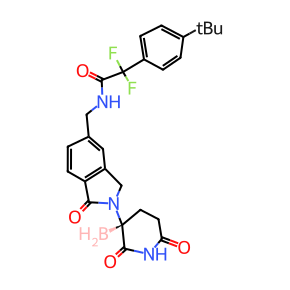 B[C@@]1(N2Cc3cc(CNC(=O)C(F)(F)c4ccc(C(C)(C)C)cc4)ccc3C2=O)CCC(=O)NC1=O